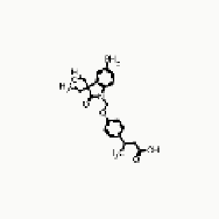 Bc1ccc2c(c1)C(CC)(CC)C(=O)N2COc1ccc(C(C)CC(=O)O)cc1